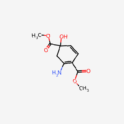 COC(=O)C1=C(N)CC(O)(C(=O)OC)C=C1